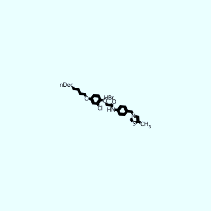 Br.CCCCCCCCCCCCCCOc1ccc(OCC(=O)Nc2ccc(CN3C=C(C)SC3)cc2)c(Cl)c1